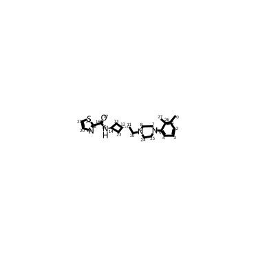 Cc1cccc(N2CCN(CC[C@H]3C[C@@H](NC(=O)c4nccs4)C3)CC2)c1C